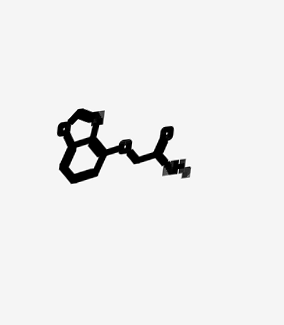 NC(=O)COc1cccc2ocnc12